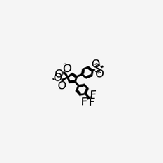 COC(=O)C1(C(=O)OC)C=C(c2ccc(C(F)(F)F)cc2)C(c2ccc(S(C)(=O)=O)cc2)=C1